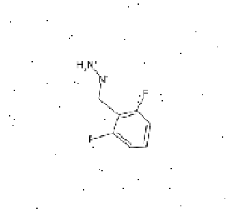 [NH3+][N-]Cc1c(F)cccc1F